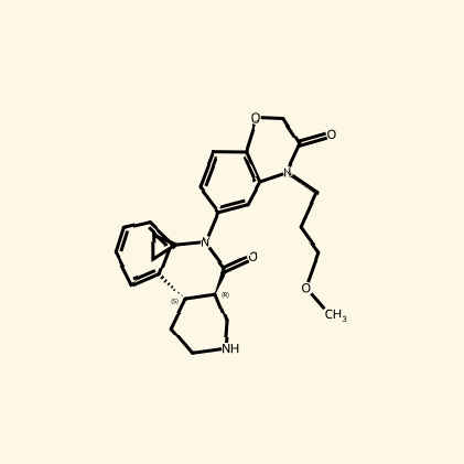 COCCCN1C(=O)COc2ccc(N(C(=O)[C@H]3CNCC[C@@H]3c3ccccc3)C3CC3)cc21